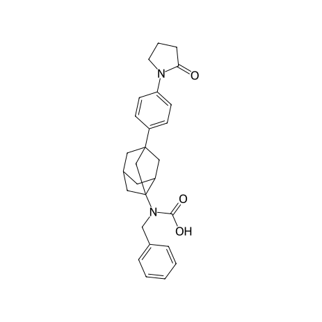 O=C1CCCN1c1ccc(C23CC4CC(C2)C(N(Cc2ccccc2)C(=O)O)(C4)C3)cc1